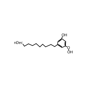 CCCCCCCCCCCCCCCCCCCc1cc(O)cc(OO)c1